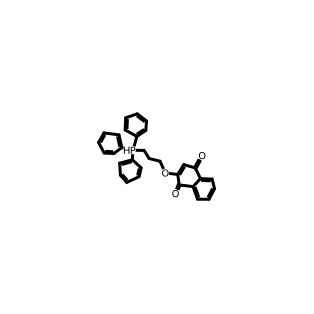 O=C1C=C(OCCC[PH](c2ccccc2)(c2ccccc2)c2ccccc2)C(=O)c2ccccc21